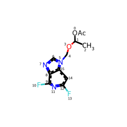 CC(=O)OC(C)OCn1cnc2c(F)nc(F)cc21